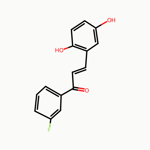 O=C(C=Cc1cc(O)ccc1O)c1cccc(F)c1